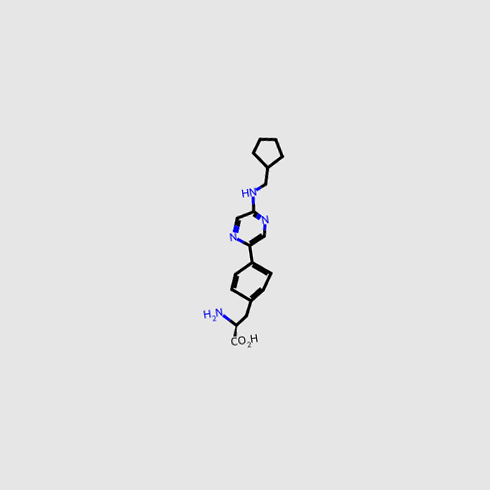 N[C@@H](Cc1ccc(-c2cnc(NCC3CCCC3)cn2)cc1)C(=O)O